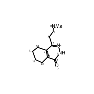 CNCCc1n[nH]c(=O)c2c1CCCC2